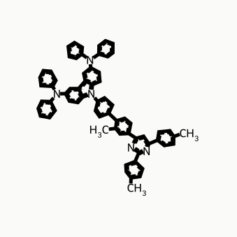 Cc1ccc(-c2cc(-c3ccc(-c4ccc(-n5c6ccc(N(c7ccccc7)c7ccccc7)cc6c6cc(N(c7ccccc7)c7ccccc7)ccc65)cc4)c(C)c3)nc(-c3ccc(C)cc3)n2)cc1